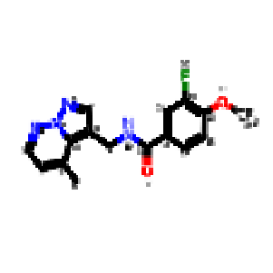 Cc1ccnn2ncc(CNC(=O)c3ccc(OC(F)(F)F)c(F)c3)c12